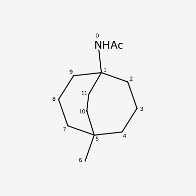 CC(=O)NC12CCCC(C)(CCC1)CC2